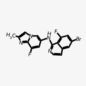 Cc1cn2cc(Nc3nccc4cc(Br)cc(F)c34)cc(F)c2n1